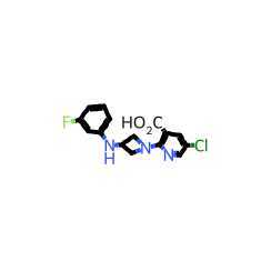 O=C(O)c1cc(Cl)cnc1N1CC(Nc2cccc(F)c2)C1